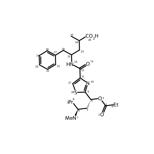 CCC(=O)O[C@H](C[C@@H](NC)C(C)C)c1nc(C(=O)NC(Cc2ccccc2)CC(C)C(=O)O)cs1